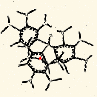 Cc1c(N(C)C)c(N(C)C)c(N(C)C)c([Si](Cl)(c2c(N(C)C)c(C)c(N(C)C)c(N(C)C)c2N(C)C)c2c(N(C)C)c(C)c(N(C)C)c(N(C)C)c2N(C)C)c1N(C)C